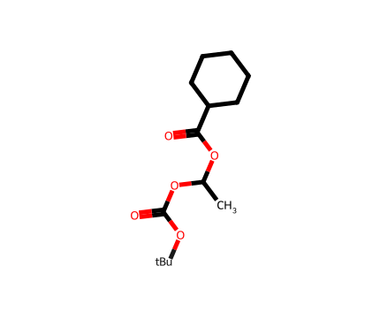 C[C](OC(=O)OC(C)(C)C)OC(=O)C1CCCCC1